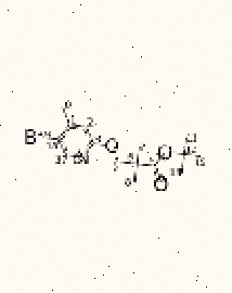 Cc1cc(OCC(C)(C)C(=O)OC(C)(C)C)ncc1Br